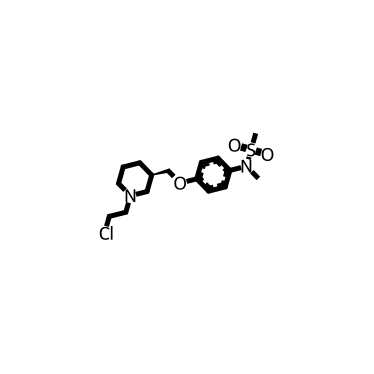 CN(c1ccc(OC[C@@H]2CCCN(CCCl)C2)cc1)S(C)(=O)=O